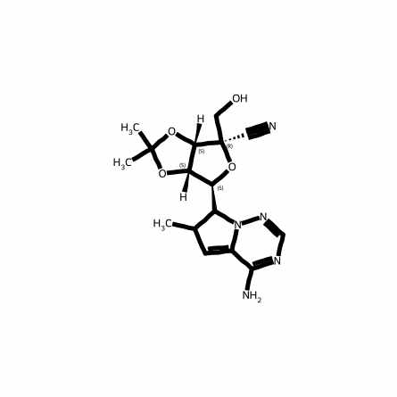 CC1C=C2C(N)=NC=NN2C1[C@@H]1O[C@](C#N)(CO)[C@H]2OC(C)(C)O[C@@H]12